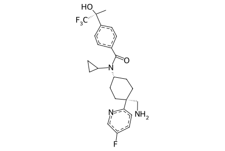 C[C@](O)(c1ccc(C(=O)N(C2CC2)[C@H]2CC[C@](CN)(c3ccc(F)cn3)CC2)cc1)C(F)(F)F